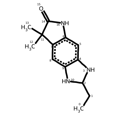 CCC1Nc2cc3c(cc2N1)C(C)(C)C(=O)N3